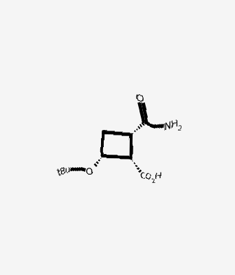 CC(C)(C)O[C@@H]1C[C@H](C(N)=O)[C@@H]1C(=O)O